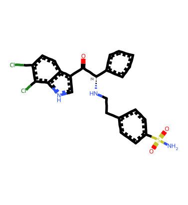 NS(=O)(=O)c1ccc(CCN[C@H](C(=O)c2c[nH]c3c(Cl)c(Cl)ccc23)c2ccccc2)cc1